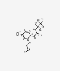 COCCc1cc(Cl)ccc1/C=C(/C)CC(C)(C)C(C)(C)C